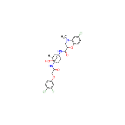 CN1CC(C(=O)NC23CCC(NC(=O)COc4ccc(Cl)c(F)c4)(CC2)[C@@H](O)C3)Oc2ccc(Cl)cc21